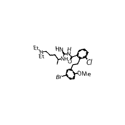 CCN(CC)CCCC(C)NC(=N)NC(=O)c1cccc(Cl)c1CCc1cc(Br)ccc1OC